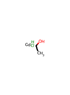 CCO.Cl.[Gd]